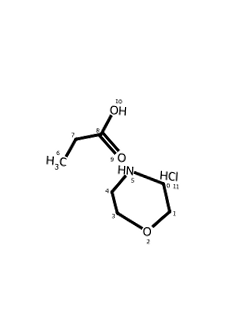 C1COCCN1.CCC(=O)O.Cl